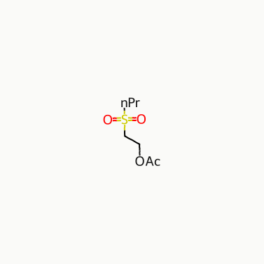 CCCS(=O)(=O)CCOC(C)=O